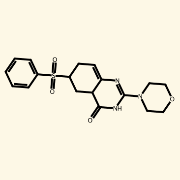 O=C1NC(N2CCOCC2)=NC2=CCC(S(=O)(=O)c3ccccc3)CC12